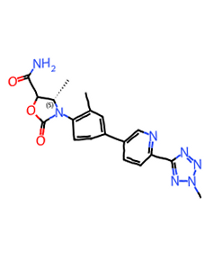 Cc1cc(-c2ccc(-c3nnn(C)n3)nc2)ccc1N1C(=O)OC(C(N)=O)[C@@H]1C